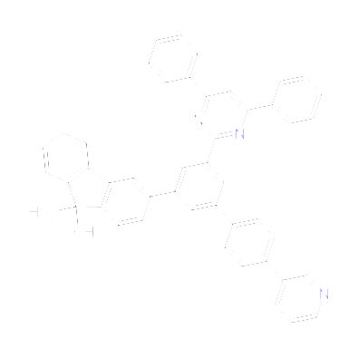 CC1(C)C2=C(CCC=C2)c2cc(-c3cc(-c4ccc(-c5cccnc5)cc4)cc(-c4nc(-c5ccccc5)cc(-c5ccccc5)n4)c3)ccc21